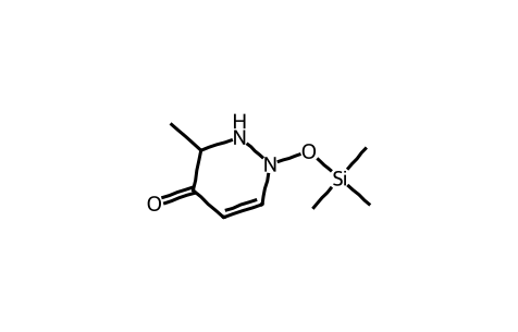 CC1NN(O[Si](C)(C)C)C=CC1=O